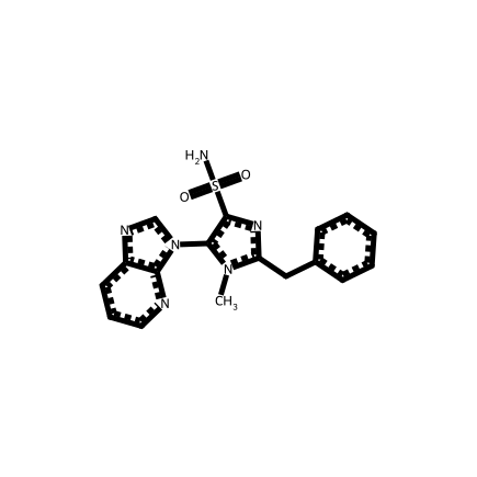 Cn1c(Cc2ccccc2)nc(S(N)(=O)=O)c1-n1cnc2cccnc21